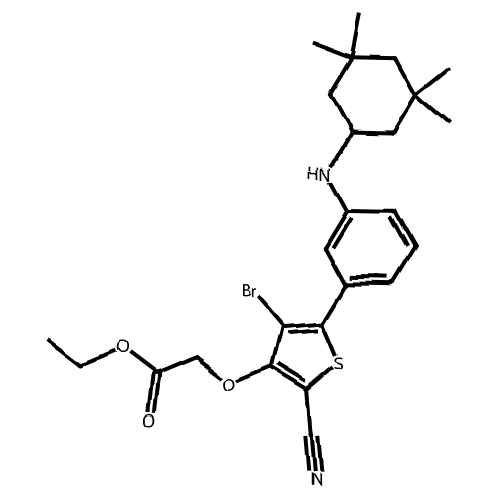 CCOC(=O)COc1c(C#N)sc(-c2cccc(NC3CC(C)(C)CC(C)(C)C3)c2)c1Br